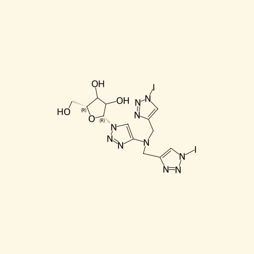 OC[C@H]1O[C@@H](n2cc(N(Cc3cn(I)nn3)Cc3cn(I)nn3)nn2)C(O)C1O